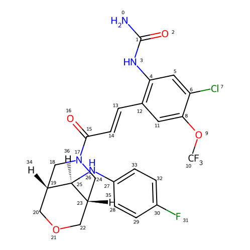 NC(=O)Nc1cc(Cl)c(OC(F)(F)F)cc1/C=C/C(=O)N1C[C@H]2COC[C@@H](C1)[C@@H]2Nc1ccc(F)cc1